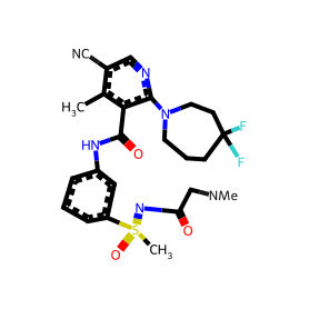 CNCC(=O)N=S(C)(=O)c1cccc(NC(=O)c2c(N3CCCC(F)(F)CC3)ncc(C#N)c2C)c1